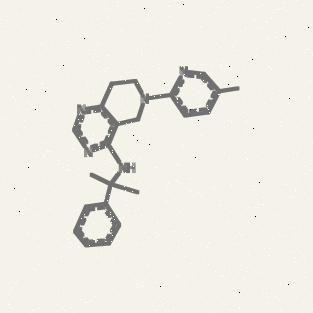 Cc1ccc(N2CCc3ncnc(NC(C)(C)c4ccccc4)c3C2)nc1